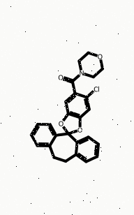 O=C(c1cc2c(cc1Cl)OC1(O2)c2ccccc2CCc2ccccc21)N1CCOCC1